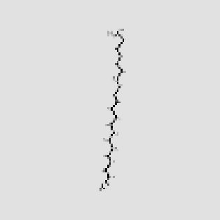 [CH2]CCCCCOCCCCCCCCCCCCCC